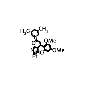 CCn1cc(C(CC(=O)N2C[C@H](C)C[C@H](C)C2)c2c(O)cc(OC)cc2OC)cn1